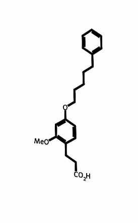 COc1cc(OCCCCCc2ccccc2)ccc1CCC(=O)O